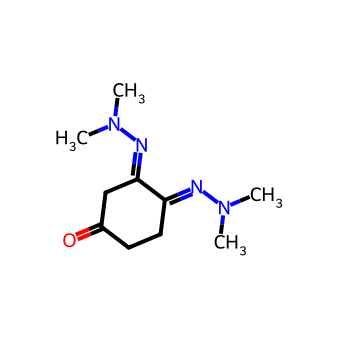 CN(C)N=C1CCC(=O)CC1=NN(C)C